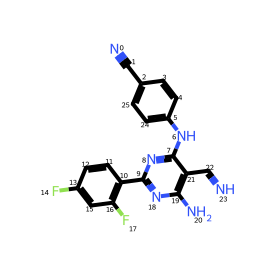 N#Cc1ccc(Nc2nc(-c3ccc(F)cc3F)nc(N)c2C=N)cc1